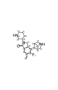 O=C1c2cc(F)c(F)c(C3C4CNCC3C4)c2CN1C1CCCNC1